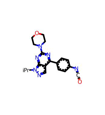 CC(C)n1ncc2c(-c3ccc(N=C=O)cc3)nc(N3CCOCC3)nc21